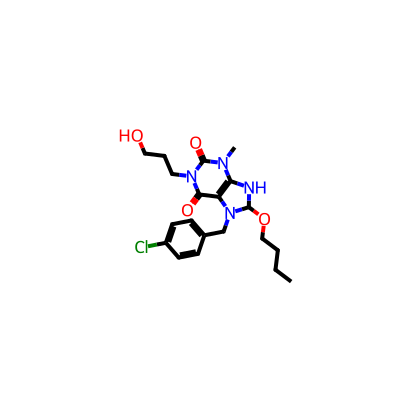 CCCCOC1Nc2c(c(=O)n(CCCO)c(=O)n2C)N1Cc1ccc(Cl)cc1